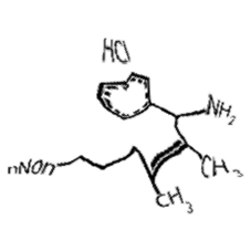 CCCCCCCCCCCCC(C)=C(C)C(N)c1ccccc1.Cl